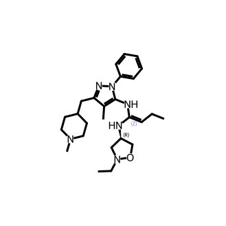 CC/C=C(\Nc1c(C)c(CC2CCN(C)CC2)nn1-c1ccccc1)N[C@H]1CON(CC)C1